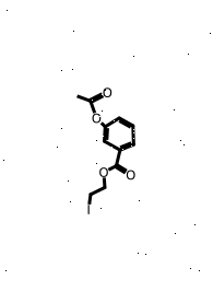 CC(=O)Oc1cccc(C(=O)OCCI)c1